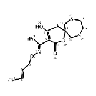 CCCC(=NOCC=CCl)C1=C(O)CC2(CSCCSC2)OC1=O